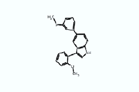 COc1ccccc1-c1c[nH]c2ncc(-c3cccc(SC)c3)cc12